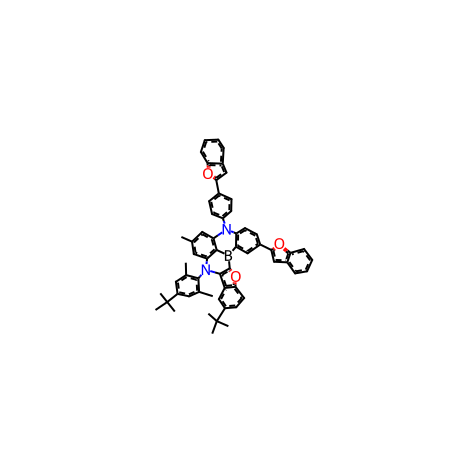 Cc1cc2c3c(c1)N(c1c(C)cc(C(C)(C)C)cc1C)c1c(oc4ccc(C(C)(C)C)cc14)B3c1cc(-c3cc4ccccc4o3)ccc1N2c1ccc(-c2cc3ccccc3o2)cc1